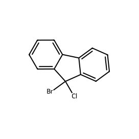 ClC1(Br)c2ccccc2-c2ccccc21